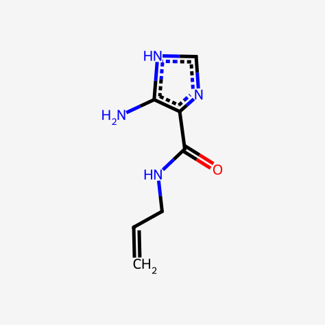 C=CCNC(=O)c1nc[nH]c1N